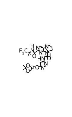 C[C@@H](NC(=O)c1ncc2c(n1)N(C(=O)Nc1cc(OC[C@H]3COC(C)(C)O3)ncn1)[C@H]1CCCN2C1)C(F)(F)F